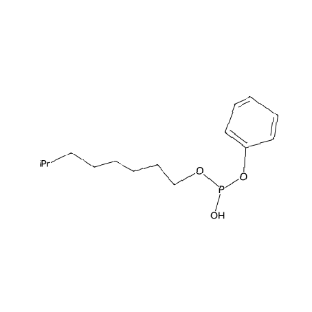 CC(C)CCCCCCOP(O)Oc1ccccc1